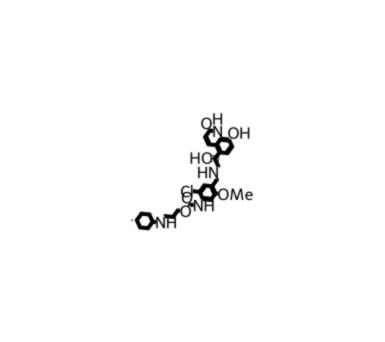 COc1cc(NC(=O)OCCCNC2CC[CH]CC2)c(Cl)cc1CNC[C@H](O)c1ccc(O)c2[nH]c(=O)ccc12